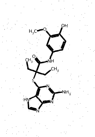 CCC(CC)(Sc1nc(N)nc2nc[nH]c12)C(=O)Nc1ccc(O)c(OC)c1